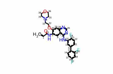 C=CC(=O)Nc1cc2c(Nc3cc(-c4ccc(F)cc4F)ccc3F)ncnc2cc1OCCN1CCOCC1